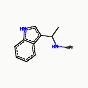 CCCNC(C)c1c[nH]c2ccccc12